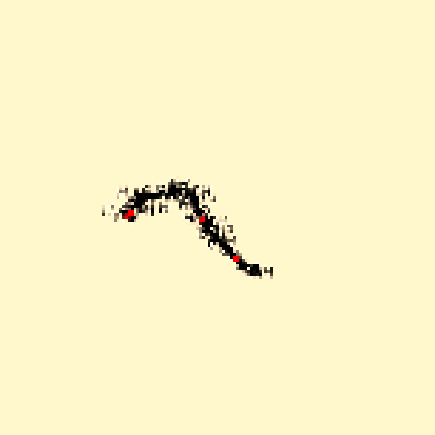 Cn1cc(NC(=O)c2nccn2C)cc1C(=O)NCCC(=O)Nc1cn(C)c(C(=O)Nc2cn(C)c(C(=O)NCCC(=O)Nc3cn(C)c(C(=O)NCCC(=O)NCCOCCOCCOCCN4CCNCC4)n3)n2)n1